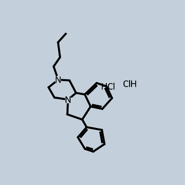 CCCCN1CCN2CC(c3ccccc3)c3ccccc3C2C1.Cl.Cl